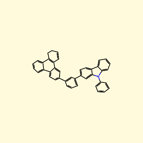 C1=Cc2c(c3ccccc3c3ccc(-c4cccc(-c5ccc6c7ccccc7n(-c7ccccc7)c6c5)c4)cc23)CC1